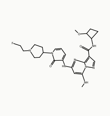 CNc1cc(Nc2cccn(C3CCN(CCF)CC3)c2=O)nc2c(C(=O)NC3CCC3OC)cnn12